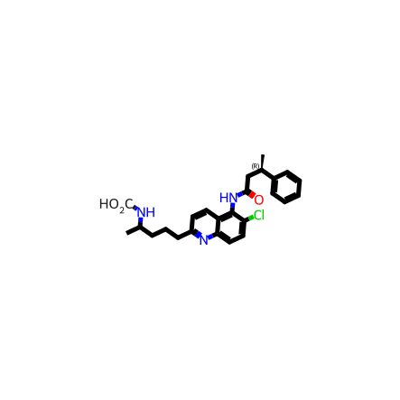 CC(CCCc1ccc2c(NC(=O)C[C@@H](C)c3ccccc3)c(Cl)ccc2n1)NC(=O)O